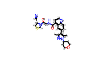 Cc1nn(C2CCOCC2)c(C)c1-c1ccc2nccc(C(=O)NCC(=O)N3CSC[C@H]3C#N)c2c1